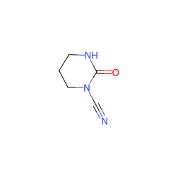 N#CN1CCCNC1=O